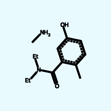 CCN(CC)C(=O)c1cc(O)ccc1C.CN